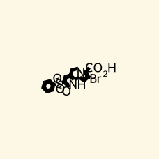 O=C(O)c1c(Br)cc2n1CCc1cc(S(=O)(=O)c3ccccc3)c(=O)[nH]c1-2